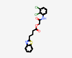 O=C(COC(=O)CCCc1nc2ccccc2s1)Nc1cccc(Cl)c1Cl